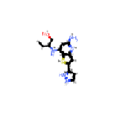 CC[C@@H](CO)Nc1cc(N)nc2cc(-c3ccn[nH]3)sc12